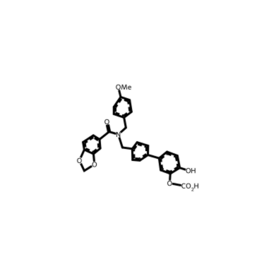 COc1ccc(CN(Cc2ccc(-c3ccc(O)c(OC(=O)O)c3)cc2)C(=O)c2ccc3c(c2)OCO3)cc1